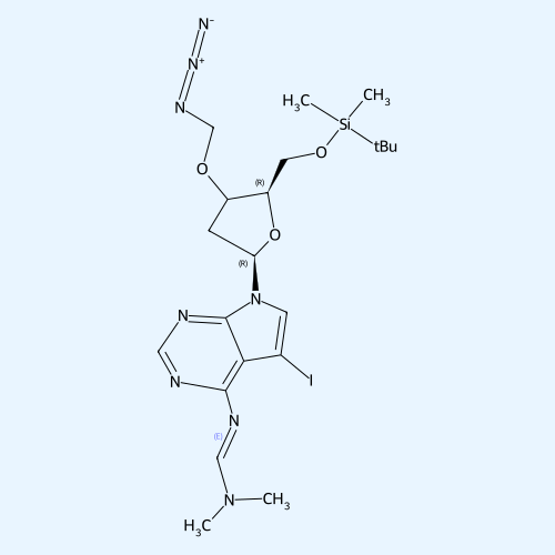 CN(C)/C=N/c1ncnc2c1c(I)cn2[C@H]1CC(OCN=[N+]=[N-])[C@@H](CO[Si](C)(C)C(C)(C)C)O1